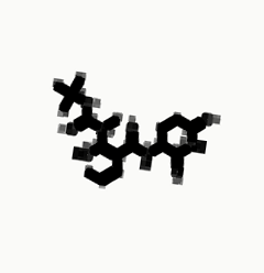 C/C=C\C(C(=O)NC1CCC(=O)NC1=O)=C(/O)N(C)C(=O)OC(C)(C)C